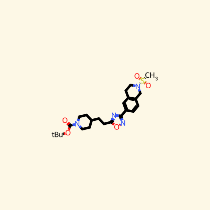 CC(C)(C)OC(=O)N1CCC(CCc2nc(-c3ccc4c(c3)CCN(S(C)(=O)=O)C4)no2)CC1